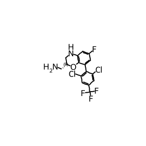 NC[C@@H]1CNc2cc(F)cc(-c3c(Cl)cc(C(F)(F)F)cc3Cl)c2O1